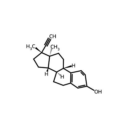 C#C[C@@]1(C)CC[C@H]2[C@@H]3CCc4cc(O)ccc4[C@H]3CC[C@@]21C